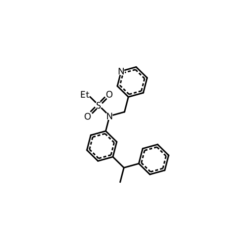 CCS(=O)(=O)N(Cc1cccnc1)c1cccc(C(C)c2ccccc2)c1